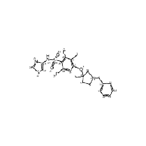 Cc1c(OC2(C)CCN(Cc3ccccc3)C2)cc(F)c(S(=O)(=O)Nc2cscn2)c1F